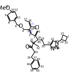 C=C(/C=C(COCc1ccc(OC)cc1)\C(Cl)=C/C)[C@@H](CCc1cn(C2CCC2)nn1)C(C)(C)C(=O)CCc1ccccc1